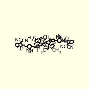 Cc1ccc(C2(c3ccc(C)s3)c3c(sc4cc(-c5ccc(C/C=C6\C(=O)c7ccccc7C6=C(C#N)C#N)c6nsnc56)sc34)-c3sc4c5c(sc4c32)-c2sc3cc(-c4ccc(N/C=C6\C(=O)c7ccccc7C6=C(C#N)C#N)c6nsnc46)sc3c2C5(c2ccc(C)s2)c2ccc(C)s2)s1